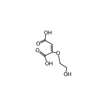 O=C(O)/C=C(/OCCO)C(=O)O